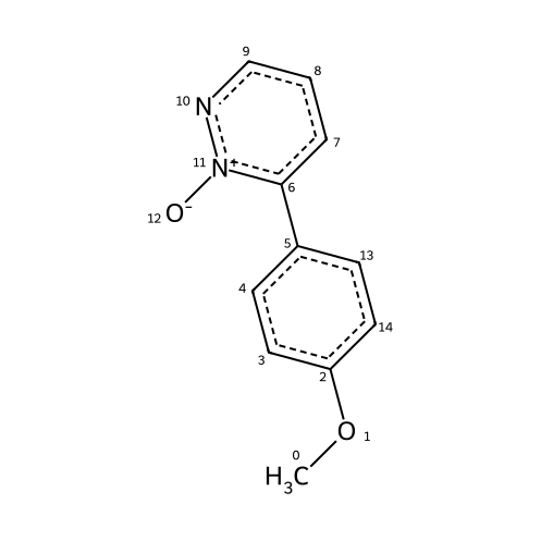 COc1ccc(-c2cccn[n+]2[O-])cc1